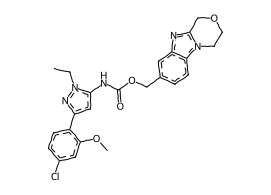 CCn1nc(-c2ccc(Cl)cc2OC)cc1NC(=O)OCc1ccc2c(c1)nc1n2CCOC1